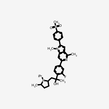 Cc1nc(-c2ccc(C(C)(O)CC3CCC(C)N3C(C)C)c(F)c2)cc2c1cc(-c1ccc(S(C)(=O)=O)cc1)n2C